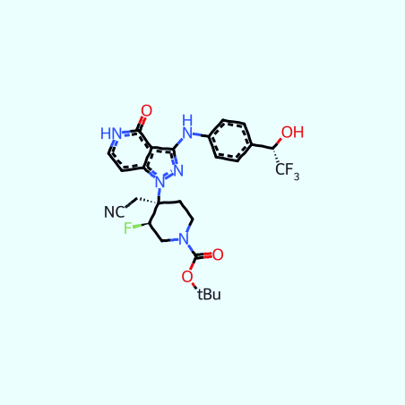 CC(C)(C)OC(=O)N1CC[C@](CC#N)(n2nc(Nc3ccc([C@H](O)C(F)(F)F)cc3)c3c(=O)[nH]ccc32)[C@H](F)C1